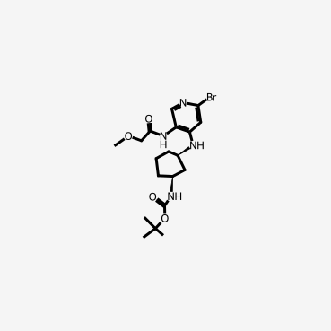 COCC(=O)Nc1cnc(Br)cc1N[C@@H]1CCC[C@H](NC(=O)OC(C)(C)C)C1